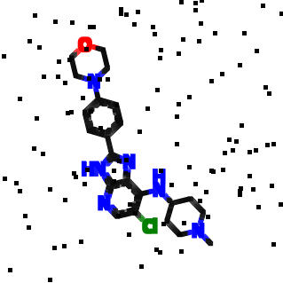 CN1CCC(Nc2c(Cl)cnc3[nH]c(-c4ccc(N5CCOCC5)cc4)nc23)CC1